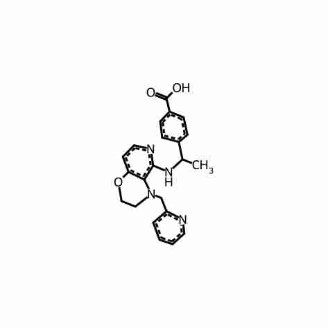 CC(Nc1nccc2c1N(Cc1ccccn1)CCO2)c1ccc(C(=O)O)cc1